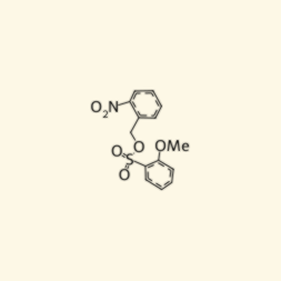 COc1ccccc1S(=O)(=O)OCc1ccccc1[N+](=O)[O-]